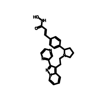 O=C(C=Cc1ccc(C2CCCN2CCc2c(-c3cnccn3)nn3ccccc23)cc1)NO